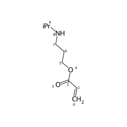 C=CC(=O)OCCCNC(C)C